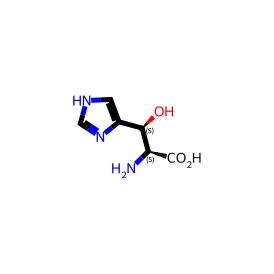 N[C@H](C(=O)O)[C@H](O)c1c[nH]cn1